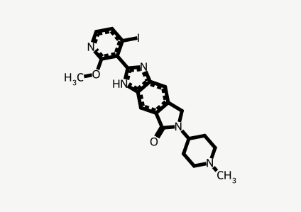 COc1nccc(I)c1-c1nc2cc3c(cc2[nH]1)C(=O)N(C1CCN(C)CC1)C3